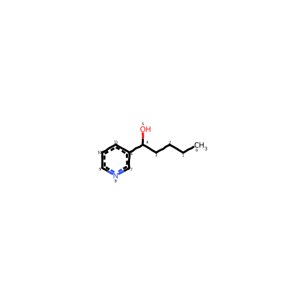 CCCCC(O)c1[c]nccc1